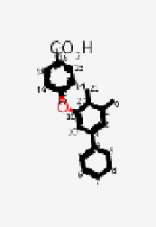 CC1C=C(C2=CC=CCC2)C=C(Oc2ccc(C(=O)O)cc2)C1C